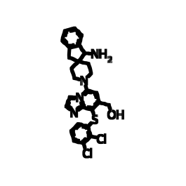 NC1c2ccccc2CC12CCN(c1cc(CO)c(Sc3cccc(Cl)c3Cl)c3nccn13)CC2